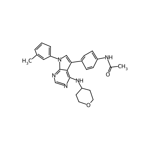 CC(=O)Nc1ccc(-c2cn(-c3cccc(C)c3)c3ncnc(NC4CCOCC4)c23)cc1